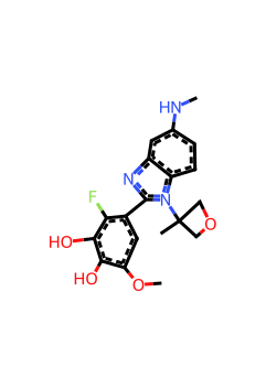 CNc1ccc2c(c1)nc(-c1cc(OC)c(O)c(O)c1F)n2C1(C)COC1